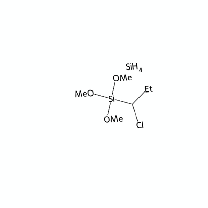 CCC(Cl)[Si](OC)(OC)OC.[SiH4]